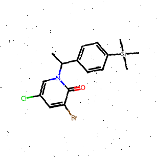 CC(c1ccc([Si](C)(C)C)cc1)n1cc(Cl)cc(Br)c1=O